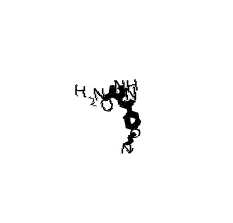 CN(C)CCCOc1ccc(-c2cnc3[nH]cc(C(N)=O)c3c2)cc1